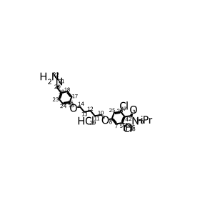 CC(C)N(C(=O)c1c(Cl)cc(OCCCCCOc2ccc(C=NN)cc2)cc1Cl)C(C)C.Cl